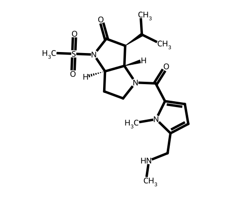 CNCc1ccc(C(=O)N2CC[C@@H]3[C@@H]2[C@H](C(C)C)C(=O)N3S(C)(=O)=O)n1C